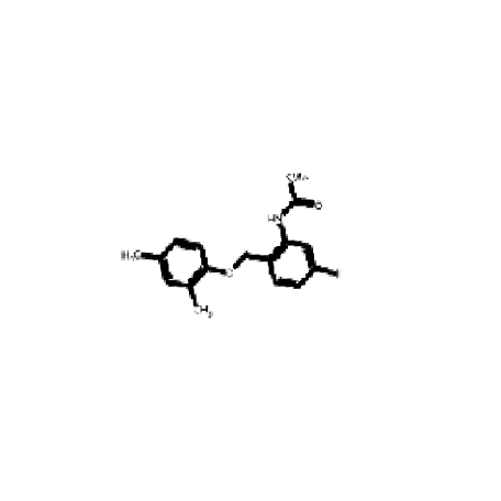 CSC(=O)Nc1cc(I)ccc1COc1ccc(C)cc1C